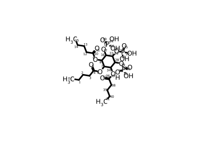 CCCCC(=O)OC1C(OC(=O)CCCC)C(OP(=O)(O)O)C(OP(=O)(O)O)C(OP(=O)(O)O)C1OC(=O)CCCC